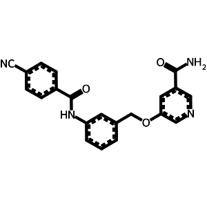 N#Cc1ccc(C(=O)Nc2cccc(COc3cncc(C(N)=O)c3)c2)cc1